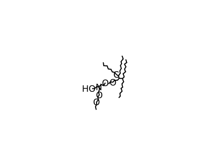 CCCCCCCCC(CCCCCCCC)C(CCOCCOCCN(CCO)CCOCCOCCC)C(CCCCCCCC)CCCCCCCC